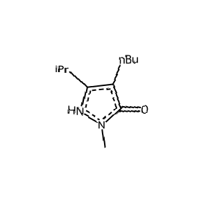 CCCCc1c(C(C)C)[nH]n(C)c1=O